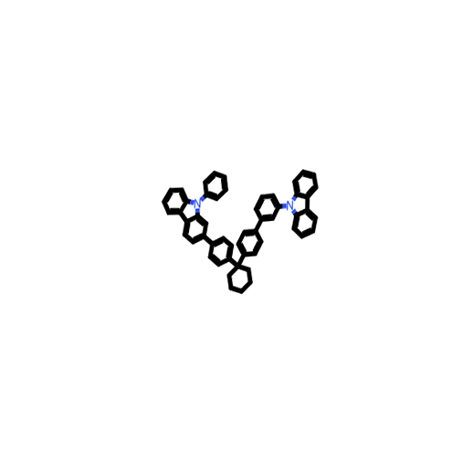 c1ccc(-n2c3ccccc3c3ccc(-c4ccc(C5(c6ccc(-c7cccc(-n8c9ccccc9c9ccccc98)c7)cc6)CCCCC5)cc4)cc32)cc1